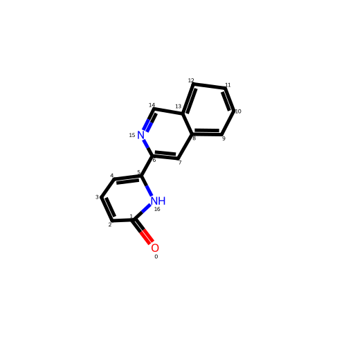 O=c1cccc(-c2cc3ccccc3cn2)[nH]1